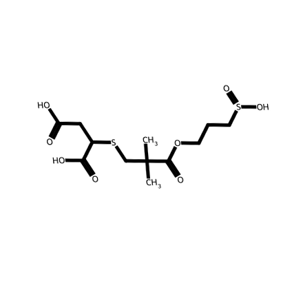 CC(C)(CSC(CC(=O)O)C(=O)O)C(=O)OCCCS(=O)O